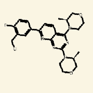 C[C@H]1COCCN1c1nc(N2CCOC[C@@H]2C)c2ccc(-c3ccc(F)c(CCl)c3)nc2n1